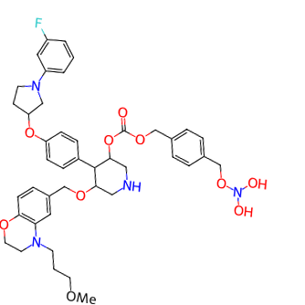 COCCCN1CCOc2ccc(COC3CNCC(OC(=O)OCc4ccc(CON(O)O)cc4)C3c3ccc(OC4CCN(c5cccc(F)c5)C4)cc3)cc21